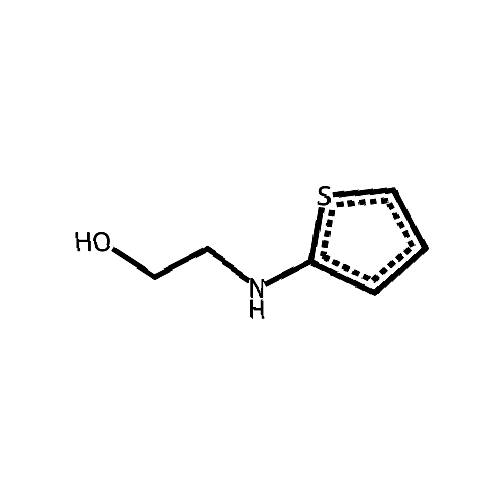 OCCNc1cccs1